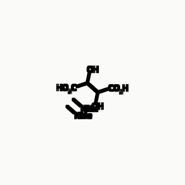 CNC.CNC.O=C(O)C(O)C(O)C(=O)O